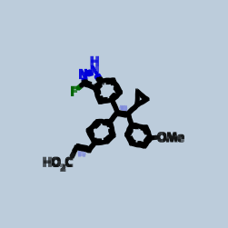 COc1cccc(/C(=C(\c2ccc(/C=C/C(=O)O)cc2)c2ccc3[nH]nc(F)c3c2)C2CC2)c1